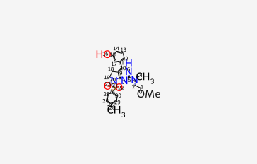 COCCN(C)C(=N)/N=C1\C(=C\c2cccc(O)c2)CCN1S(=O)(=O)c1ccc(C)cc1